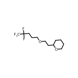 FC(F)(F)C(F)(F)CCCOCCC1CCCCO1